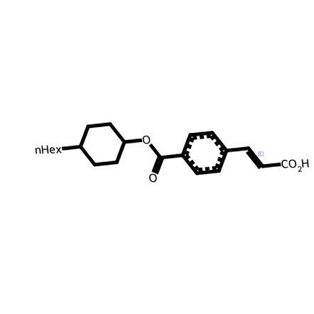 CCCCCCC1CCC(OC(=O)c2ccc(/C=C/C(=O)O)cc2)CC1